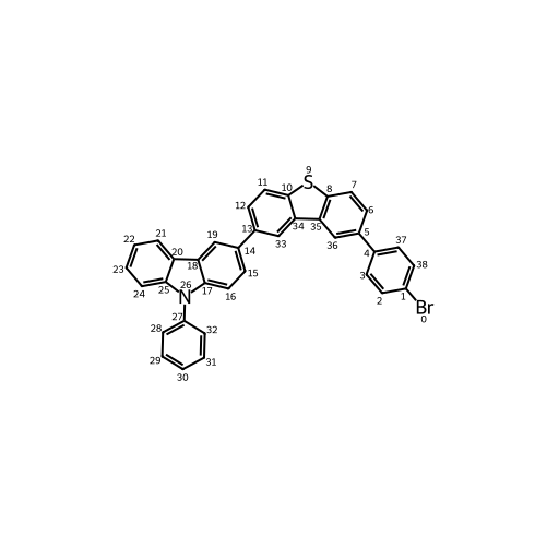 Brc1ccc(-c2ccc3sc4ccc(-c5ccc6c(c5)c5ccccc5n6-c5ccccc5)cc4c3c2)cc1